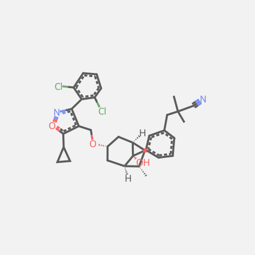 C[C@H]1C[C@@H]2C[C@@H](OCc3c(-c4c(Cl)cccc4Cl)noc3C3CC3)C[C@H]1[C@]2(O)c1cccc(CC(C)(C)C#N)c1